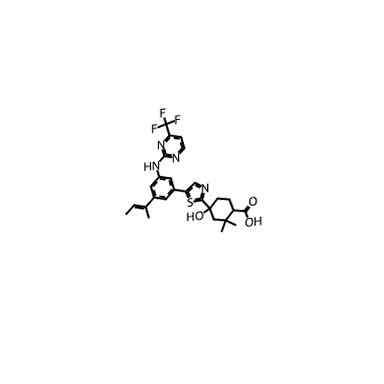 C/C=C(\C)c1cc(Nc2nccc(C(F)(F)F)n2)cc(-c2cnc(C3(O)CCC(C(=O)O)C(C)(C)C3)s2)c1